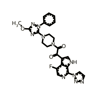 COc1nc(N2CCN(C(=O)C(=O)c3c[nH]c4c(-n5ccnn5)ncc(F)c34)CC2)n(-c2ccccc2)n1